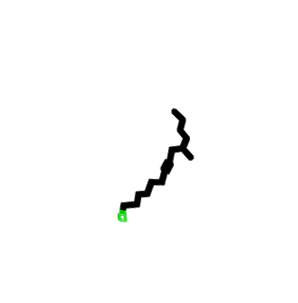 CCCCC(C)CC#CCCCCCCCl